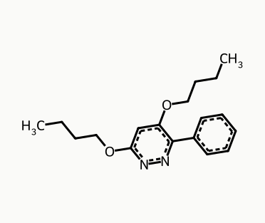 CCCCOc1cc(OCCCC)c(-c2ccccc2)nn1